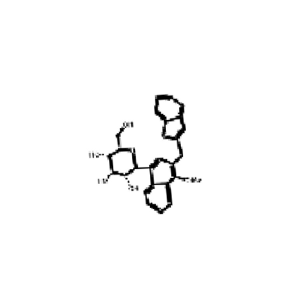 COc1c(Cc2cc3ccccc3s2)cc([C@@H]2O[C@H](CO)[C@@H](O)[C@H](O)[C@H]2O)c2ccccc12